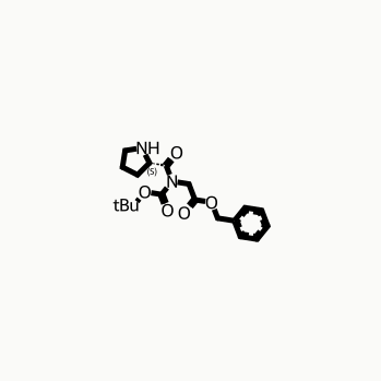 CC(C)(C)OC(=O)N(CC(=O)OCc1ccccc1)C(=O)[C@@H]1CCCN1